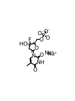 Cc1cn([C@H]2C[C@@](O)(F)[C@@H](COP(=O)([O-])[O-])O2)c(=O)[nH]c1=O.[Na+].[Na+]